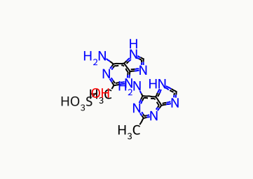 Cc1nc(N)c2[nH]cnc2n1.Cc1nc(N)c2[nH]cnc2n1.O=S(=O)(O)O